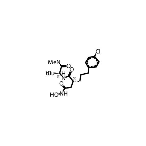 CNC(=O)[C@@H](NC(=O)[C@H](CCCc1ccc(Cl)cc1)CC(=O)NO)C(C)(C)C